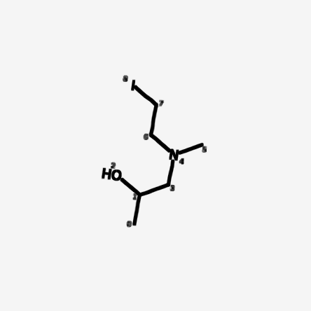 CC(O)CN(C)CCI